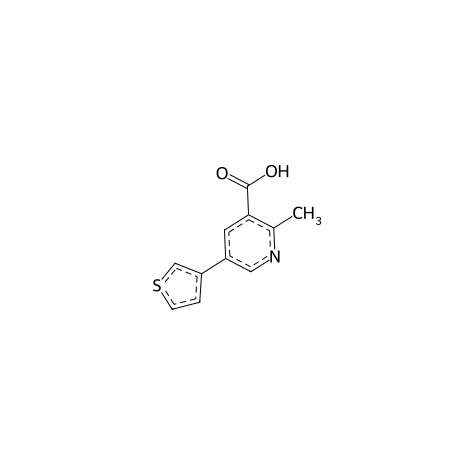 Cc1ncc(-c2ccsc2)cc1C(=O)O